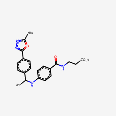 CC(C)C(Nc1ccc(C(=O)NCCC(=O)O)cc1)c1ccc(-c2nnc(C(C)(C)C)o2)cc1